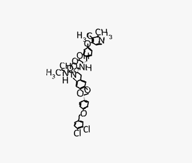 Cc1nccc(Oc2ccc(C[C@H](NC(=O)[C@@H]3Cc4cc5c(cc4CN3C(=O)NC(C)C)O[C@@H](c3ccc(OCc4ccc(Cl)c(Cl)c4)cc3)CO5)C(=O)O)cc2)c1C